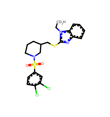 O=C(O)Cn1c(SCC2CCCN(S(=O)(=O)c3ccc(Cl)c(Cl)c3)C2)nc2ccccc21